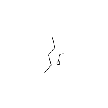 CCCCC.OCl